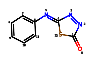 O=C1N=NC(=Nc2ccccc2)S1